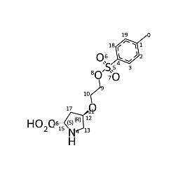 Cc1ccc(S(=O)(=O)OCCO[C@H]2CN[C@H](C(=O)O)C2)cc1